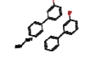 Brc1cccc(-c2ccccc2)c1.Brc1cccc(-c2ccccc2)c1.[SeH][SeH]